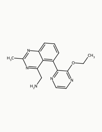 CCOc1nccnc1-c1cccc2nc(C)nc(CN)c12